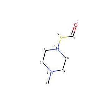 CN1CCN(SC=O)CC1